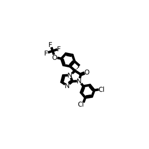 O=C1N(c2cc(Cl)cc(Cl)c2)c2nccn2[C@]12Cc1ccc(OC(F)(F)F)cc12